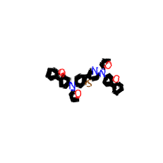 c1coc(N(c2ccc3c(c2)oc2ccccc23)c2ccc3c(c2)sc2cc(N(c4ccc5c(c4)oc4ccccc45)c4ccco4)ncc23)c1